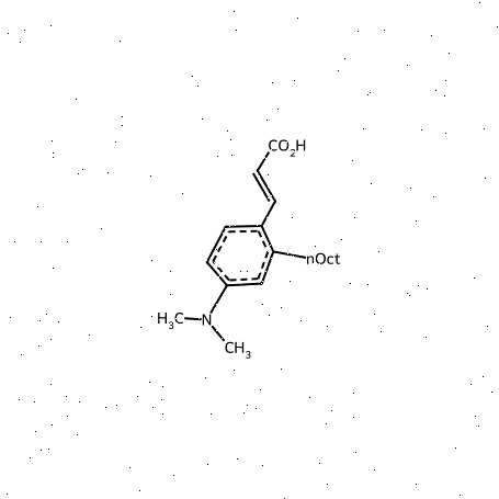 CCCCCCCCc1cc(N(C)C)ccc1C=CC(=O)O